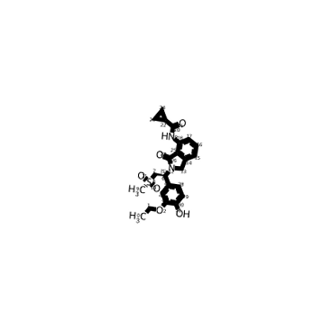 CCOc1cc([C@@H](CS(C)(=O)=O)N2Cc3cccc(NC(=O)C4CC4)c3C2=O)ccc1O